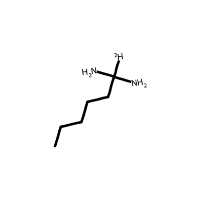 [2H]C(N)(N)CCCCC